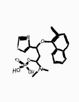 Cc1ccc2ccccc2c1OC(CC(OP(=O)(O)O)N(C)C)c1cscn1